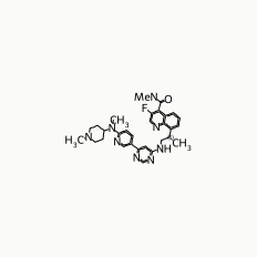 CNC(=O)c1c(F)cnc2c([C@H](C)CNc3cc(-c4ccc(N(C)C5CCN(C)CC5)nc4)ncn3)cccc12